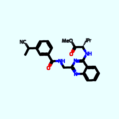 COC(=O)[C@@H](Nc1nc(CNC(=O)c2cccc(C(C)C#N)c2)nc2ccccc12)C(C)C